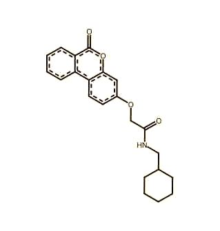 O=C(COc1ccc2c(c1)oc(=O)c1ccccc12)NCC1CCCCC1